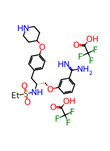 CCS(=O)(=O)N[C@@H](COc1cccc(C(=N)N)c1)Cc1ccc(OC2CCNCC2)cc1.O=C(O)C(F)(F)F.O=C(O)C(F)(F)F